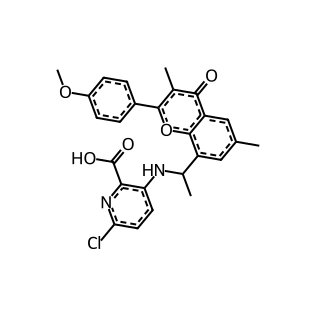 COc1ccc(-c2oc3c(C(C)Nc4ccc(Cl)nc4C(=O)O)cc(C)cc3c(=O)c2C)cc1